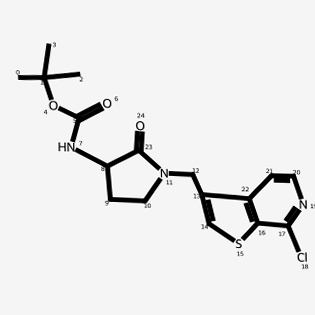 CC(C)(C)OC(=O)NC1CCN(Cc2csc3c(Cl)nccc23)C1=O